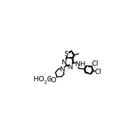 Cc1csc2nc(N3CCC(OC(=O)O)CC3)nc(NCc3ccc(Cl)c(Cl)c3)c12